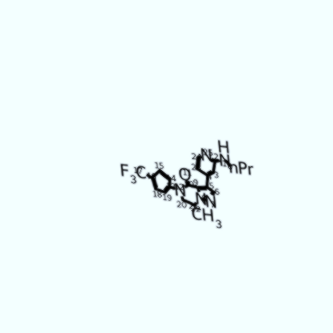 CCCNc1cc(-c2cnn3c2C(=O)N(c2ccc(C(F)(F)F)cc2)C[C@@H]3C)ccn1